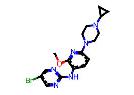 COc1nc(N2CCN(C3CC3)CC2)ccc1Nc1ncc(Br)cn1